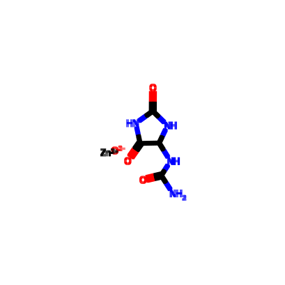 NC(=O)NC1NC(=O)NC1=O.[O-2].[Zn+2]